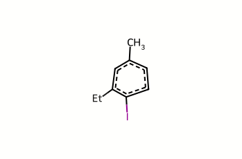 CCc1cc(C)ccc1I